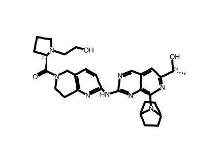 C[C@@H](O)c1cc2cnc(Nc3ccc4c(n3)CCN(C(=O)[C@H]3CCCN3CCO)C4)nc2c(N2C3CCC2CC3)n1